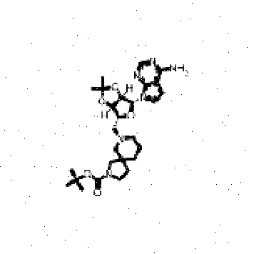 CC(C)(C)OC(=O)N1CCC2(CCCN(C[C@H]3O[C@@H](n4ccc5c(N)ncnc54)[C@@H]4OC(C)(C)O[C@@H]43)C2)C1